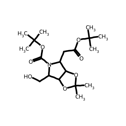 CC(C)(C)OC(=O)CC1C2OC(C)(C)OC2C(CO)N1C(=O)OC(C)(C)C